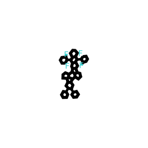 Fc1cccc(F)c1-c1c2ccccc2c(-c2c(F)cccc2F)c2cc3c(cc12)c1cccc2c1c3c1cccc3c4cc(-c5ccccc5)c(-c5ccccc5)cc4c2c31